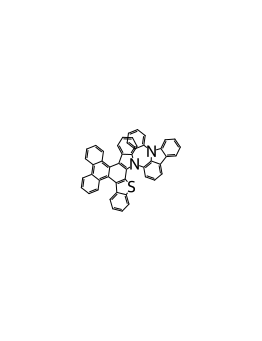 c1ccc(-n2c3ccccc3c3cccc(-n4c5ccccc5c5c6c7ccccc7c7ccccc7c6c6c7ccccc7sc6c54)c32)cc1